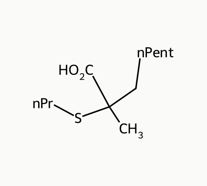 CCCCCCC(C)(SCCC)C(=O)O